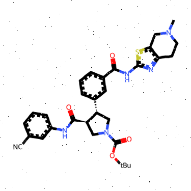 CN1CCc2nc(NC(=O)c3cccc([C@@H]4CN(C(=O)OC(C)(C)C)C[C@H]4C(=O)Nc4cccc(C#N)c4)c3)sc2C1